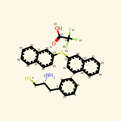 N[C@@H](CS)Cc1ccccc1.O=C(O)C(F)(F)F.c1ccc2cc(Sc3ccc4ccccc4c3)ccc2c1